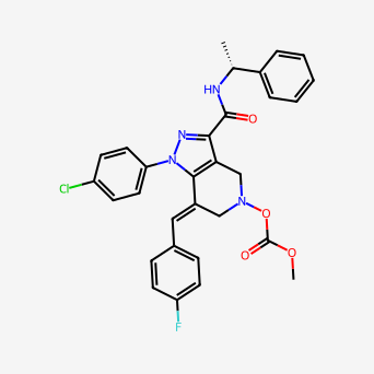 COC(=O)ON1C/C(=C\c2ccc(F)cc2)c2c(c(C(=O)N[C@H](C)c3ccccc3)nn2-c2ccc(Cl)cc2)C1